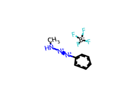 CN[N+]#[N+]c1ccccc1.F[B-](F)(F)F